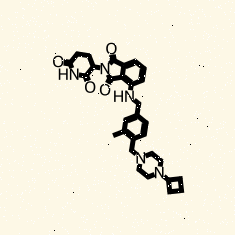 Cc1cc(CNc2cccc3c2C(=O)N(C2CCC(=O)NC2=O)C3=O)ccc1CN1CCN(C2CCC2)CC1